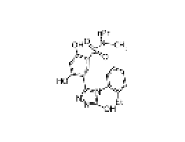 CCCN(C)S(=O)(=O)c1cc(-c2nnc(O)n2-c2ccccc2CC)c(O)cc1O